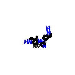 Cc1c(Nc2c(C#N)cncc2-c2ccc3[nH]ccc3c2)ccc2[nH]ccc12